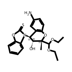 CCOC(OCC)[C@@]1(C)Oc2ccc(N)cc2[C@H](n2c(=S)oc3ccccc32)[C@H]1O